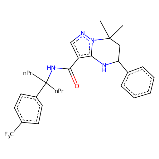 CCCC(CCC)(NC(=O)c1cnn2c1NC(c1ccccc1)CC2(C)C)c1ccc(C(F)(F)F)cc1